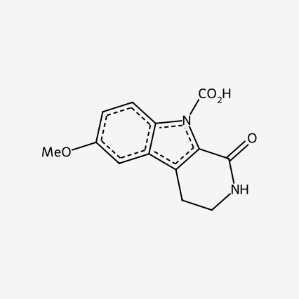 COc1ccc2c(c1)c1c(n2C(=O)O)C(=O)NCC1